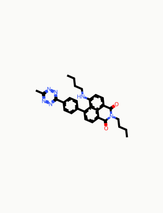 CCCCNc1ccc2c3c(ccc(-c4ccc(-c5nnc(C)nn5)cc4)c13)C(=O)N(CCCC)C2=O